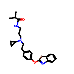 CC(C)C(=O)NCCCN(CCc1ccc(Oc2nc3ccccc3s2)cc1)C1CC1